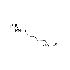 BNCCCCCNC(C)C